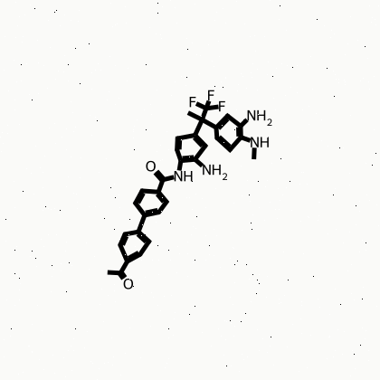 CNc1ccc(C(C)(c2ccc(NC(=O)c3ccc(-c4ccc(C(C)=O)cc4)cc3)c(N)c2)C(F)(F)F)cc1N